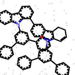 C1=Cc2c(c3cc(-c4cccc5c6ccccc6n(-c6cc(-c7ccccc7)cc(-c7ccccc7)c6)c45)ccc3n2-c2cc(-c3ccccc3)cc(-c3ccccc3)c2)CC1